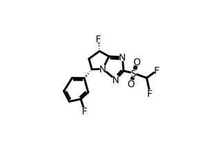 O=S(=O)(c1nc2n(n1)[C@H](c1cccc(F)c1)C[C@@H]2F)C(F)F